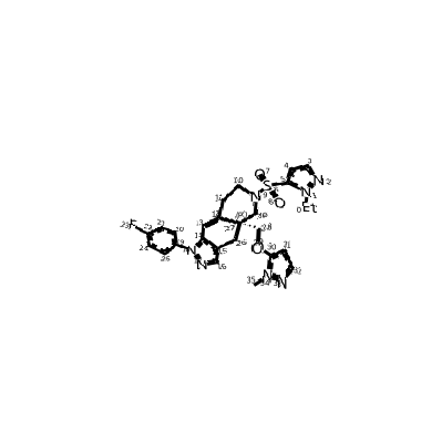 CCn1nccc1S(=O)(=O)N1CCC2=Cc3c(cnn3-c3ccc(F)cc3)C[C@]2(COc2ccnn2C)C1